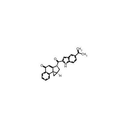 C=C(C)c1ccc2[nH]c(C(=O)N3C[C@H]4C[C@@]45C3=CC(=O)c3ccccc35)cc2c1